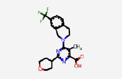 Cc1c(C(=O)O)nc(C2CCOCC2)nc1N1CCc2ccc(C(F)(F)F)cc2C1